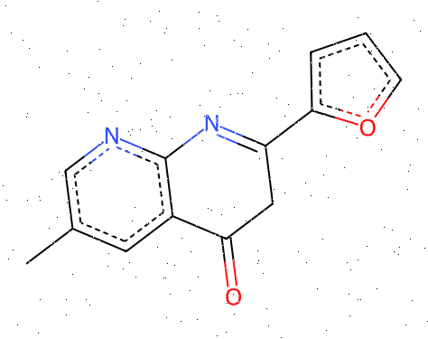 Cc1cnc2c(c1)C(=O)CC(c1ccco1)=N2